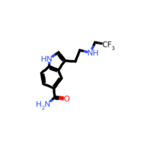 NC(=O)c1ccc2[nH]cc(CCNCC(F)(F)F)c2c1